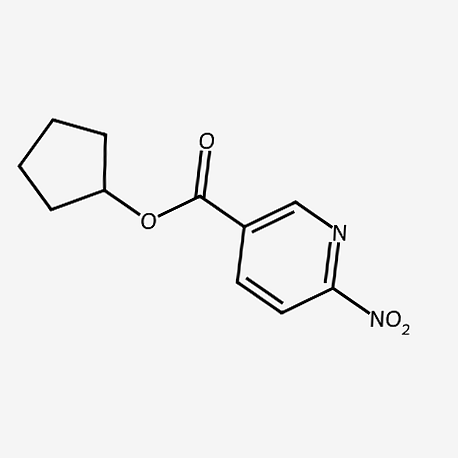 O=C(OC1CCCC1)c1ccc([N+](=O)[O-])nc1